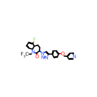 O=C1C(n2cc(-c3ccc(OCc4ccncc4)cc3)nn2)CCC2C(F)=CC=CC2N1CC(F)(F)F